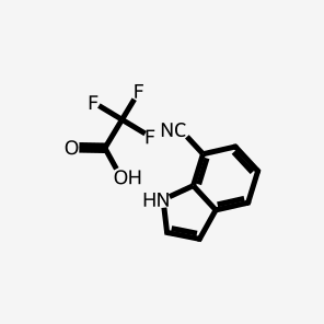 N#Cc1cccc2cc[nH]c12.O=C(O)C(F)(F)F